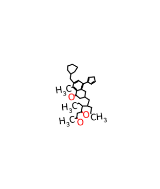 CCCC(CC1CC(=O)c2c(C)c(CC3CCCCC3)cc(C3=CCC=C3)c2C1)C(CC)C(=O)CC(C)=O